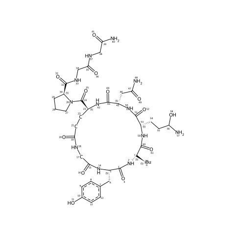 CC[C@H](C)[C@@H]1NC(=O)[C@H](Cc2ccc(O)cc2)NC(=O)CNC(=O)CC[C@@H](C(=O)N2CCC[C@H]2C(=O)NCC(=O)NCC(N)=O)NC(=O)[C@H](CC(N)=O)NC(=O)[C@H](CCC(N)O)NC1=O